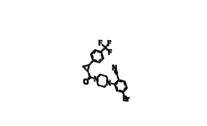 N#Cc1ccc(Br)cc1N1CCN(C(=O)[C@H]2CC2c2ccc(C(F)(F)F)cc2)CC1